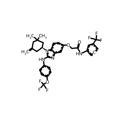 C=C1C[C@H](n2c(Nc3ccc(OC(F)(F)F)cc3)nc3cc(OCC(=O)Nc4cccc(C(F)(F)F)c4)ccc32)CC(C)(C)C1